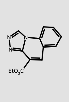 CCOC(=O)c1cc2ccccc2n2cnnc12